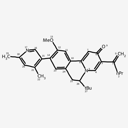 C=C(CCC)c1cn2c(cc1=O)-c1cc(OC)c(-c3cnc(C)cc3C)cc1CC2C(C)(C)C